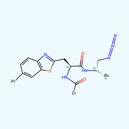 CCC(=O)N[C@@H](Cc1nc2ccc(C(C)C)cc2s1)C(=O)N[C@H](CN=[N+]=[N-])[C@@H](C)CC